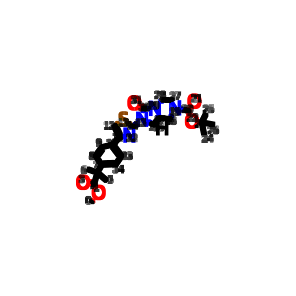 COC(=O)C(C)(C)c1ccc(-c2csc(N3C[C@@H]4CN(C(=O)OC(C)(C)C)CCN4C3=O)n2)cc1